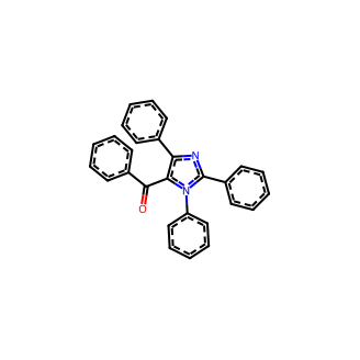 O=C(c1ccccc1)c1c(-c2ccccc2)nc(-c2ccccc2)n1-c1ccccc1